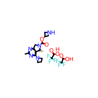 Cc1nc2c(c(N3CCC3)n1)[C@@H](C)N(C(=O)OC1CNC1)C2.O=C(O)C(F)(F)F.O=C(O)C(F)(F)F